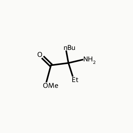 CCCCC(N)(CC)C(=O)OC